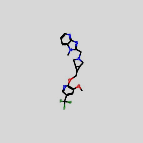 COc1cc(C(F)(F)F)cnc1OCC1C2CN(Cc3nc4ncccc4n3C)CC12